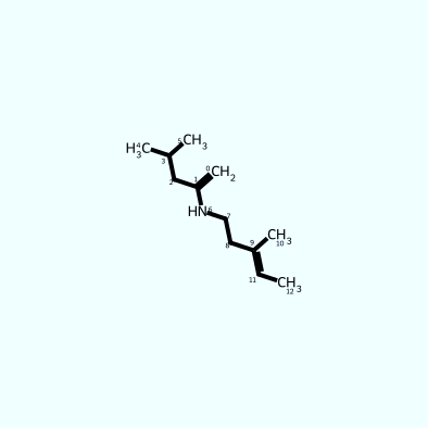 C=C(CC(C)C)NCC/C(C)=C/C